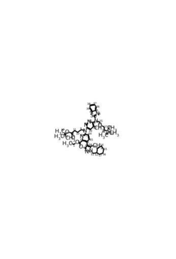 CCOC(=O)c1nc(N(CCCC(=O)OC(C)(C)C)c2cc(C)c(N(COCC[Si](C)(C)C)c3nc4ccccc4s3)nn2)ccc1-c1cnn(CC2CCCCC2)c1C